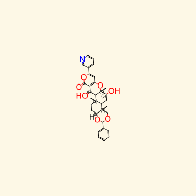 C[C@]12CC[C@@H]3OC(c4ccccc4)OC[C@@]3(C)C1C[C@H](O)[C@@]1(C)Oc3cc(-c4cccnc4)oc(=O)c3[C@H](O)C21